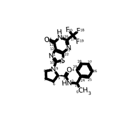 CC(NC(=O)[C@H]1CCCN1c1nc2c(=O)[nH]c(C(F)(F)F)nc2s1)c1ccccc1